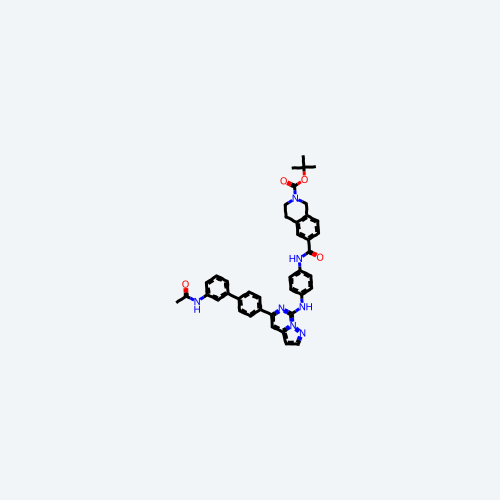 CC(=O)Nc1cccc(-c2ccc(-c3cc4ccnn4c(Nc4ccc(NC(=O)c5ccc6c(c5)CCN(C(=O)OC(C)(C)C)C6)cc4)n3)cc2)c1